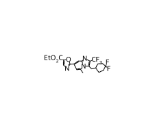 CCOC(=O)c1cnc(-c2cc(C)n3c(CC4CCC(F)(F)CC4)c(C(F)(F)F)nc3c2)o1